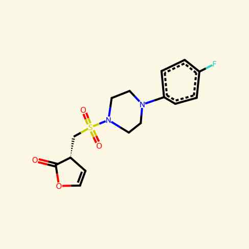 O=C1OC=C[C@H]1CS(=O)(=O)N1CCN(c2ccc(F)cc2)CC1